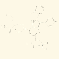 CCOC1(C(N)=O)CCN(c2cc(N(C)CC(C)(C)O)nc3c(-c4ccc(Cl)cc4)c(-c4ccccc4Cl)nn23)CC1